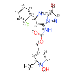 CC1C=C(COC(=O)Nc2cc(-c3ccccc3F)nc3c(Br)cnn23)C=CN1O